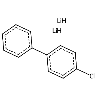 Clc1ccc(-c2ccccc2)cc1.[LiH].[LiH]